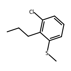 CCCc1c(Cl)cccc1SC